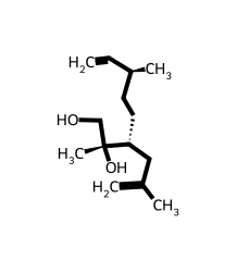 C=C[C@@H](C)CC[C@H](CC(=C)C)[C@](C)(O)CO